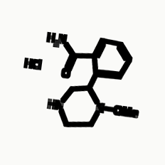 CON1CCNCC1c1ccccc1C(N)=O.Cl